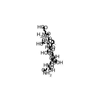 CC[C@H](C)[C@H](NC(=O)[C@H](CC(=O)O)NC(=O)[C@H](C)NC(=O)[C@@H](N)CCC(=O)O)C(=O)N[C@@H](CC(=O)O)C(=O)NCC(=O)N[C@@H](CC(=O)O)C(=O)NCC(=O)N[C@@H](CCC(N)=O)C(=O)O